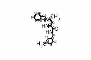 C/C(=C/C(=N)C(=O)NCC1CCN(C)C1)NCc1ccccc1